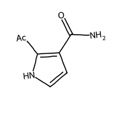 CC(=O)c1[nH]ccc1C(N)=O